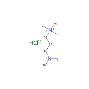 CN(C)CCC[N+](C)(C)C.Cl